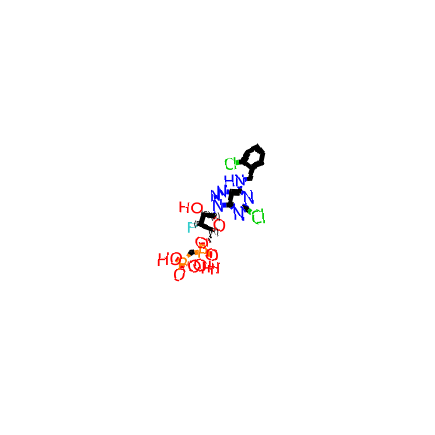 O=P(O)(O)CP(=O)(O)OC[C@H]1O[C@@H](n2nnc3c(NCc4ccccc4Cl)nc(Cl)nc32)[C@H](O)[C@H]1F